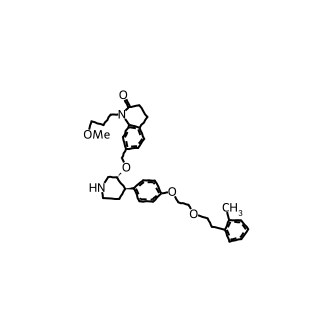 COCCCN1C(=O)CCc2ccc(CO[C@H]3CNCC[C@@H]3c3ccc(OCCOCCc4ccccc4C)cc3)cc21